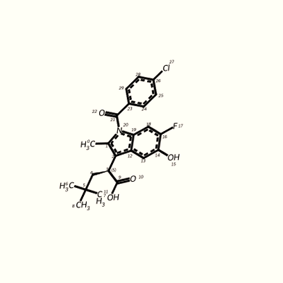 Cc1c([C@H](CC(C)(C)C)C(=O)O)c2cc(O)c(F)cc2n1C(=O)c1ccc(Cl)cc1